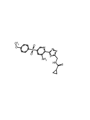 Nc1cc(S(=O)(=O)c2ccc(OC(F)(F)F)cc2)cnc1-c1nnc(CNC(=S)C2CC2)s1